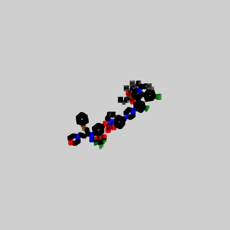 CCNP(=O)(Oc1ccc(N2CCN(c3cc(F)cc(-c4c(S(C)(=O)=O)c(C)n(C(C)C)c4-c4ccc(Cl)cc4)c3)CC2)cc1)Oc1ccc(N[C@H](CCN2CCOCC2)CSc2ccccc2)c(S(=O)(=O)C(F)(F)F)c1